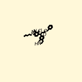 C=CCCCn1nnc2c(Cl)c(C(CC(=O)OCc3ccccc3)c3ccc4c(c3)CNCC4)ccc21